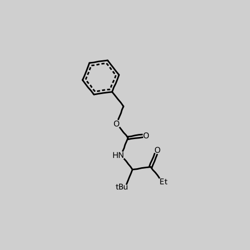 CCC(=O)C(NC(=O)OCc1ccccc1)C(C)(C)C